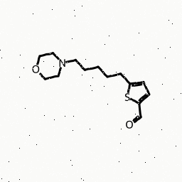 O=Cc1ccc(CCCCCN2CCOCC2)s1